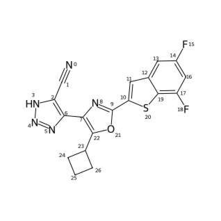 N#Cc1[nH]nnc1-c1nc(-c2cc3cc(F)cc(F)c3s2)oc1C1CCC1